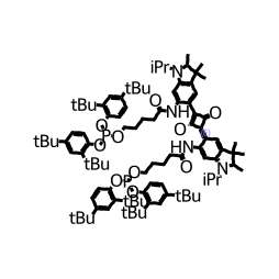 CC(C)N1c2cc(NC(=O)CCCCOP(Oc3ccc(C(C)(C)C)cc3C(C)(C)C)Oc3ccc(C(C)(C)C)cc3C(C)(C)C)c(C3=C([O-])/C(=c4/cc5c(cc4NC(=O)CCCCOP(Oc4ccc(C(C)(C)C)cc4C(C)(C)C)Oc4ccc(C(C)(C)C)cc4C(C)(C)C)=[N+](C(C)C)C(C)C5(C)C)C3=O)cc2C(C)(C)C1C